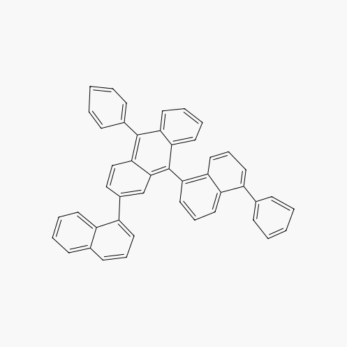 c1ccc(-c2cccc3c(-c4c5ccccc5c(-c5ccccc5)c5ccc(-c6cccc7ccccc67)cc45)cccc23)cc1